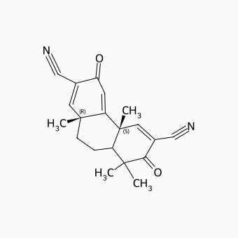 CC1(C)C(=O)C(C#N)=C[C@@]2(C)C3=CC(=O)C(C#N)=C[C@@]3(C)CCC12